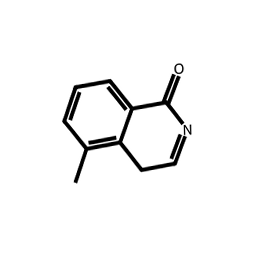 Cc1cccc2c1CC=NC2=O